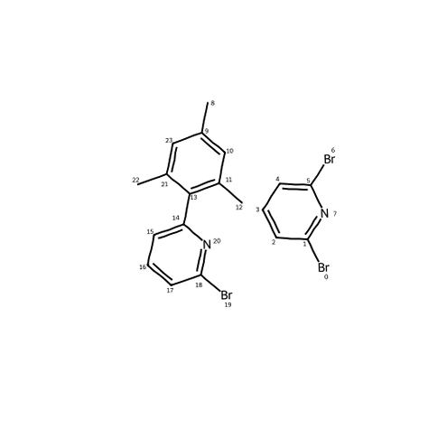 Brc1cccc(Br)n1.Cc1cc(C)c(-c2cccc(Br)n2)c(C)c1